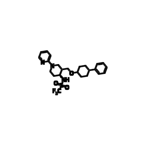 O=S(=O)(N[C@H]1CCN(c2ccccn2)CC1COC1CCC(c2ccccc2)CC1)C(F)(F)F